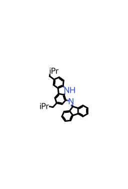 CC(C)Cc1ccc2[nH]c3c(N=C4c5ccccc5-c5ccccc54)cc(CC(C)C)cc3c2c1